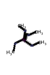 CCCCCCCC/C=C\CCCCCCCCP(CCCCCCCC/C=C\CCCCCCCC)CP(CCCCCCCC/C=C\CCCCCCCC)CCCCCCCC/C=C\CCCCCCCC